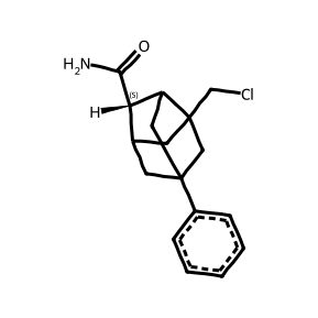 NC(=O)[C@H]1C2CC3(c4ccccc4)CC1C(CCl)(C2)C3